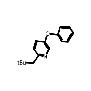 CC(C)(C)Cc1ccc(Oc2ccccc2)cn1